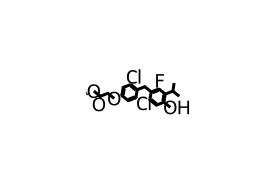 COC(=O)COc1cc(Cl)c(Cc2ccc(O)c(C(C)C)c2F)c(Cl)c1